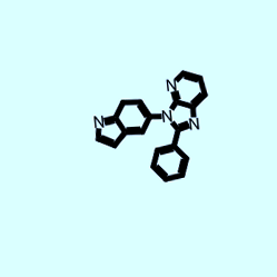 C1=CC2=CC(n3c(-c4ccccc4)nc4cccnc43)=CCC2=N1